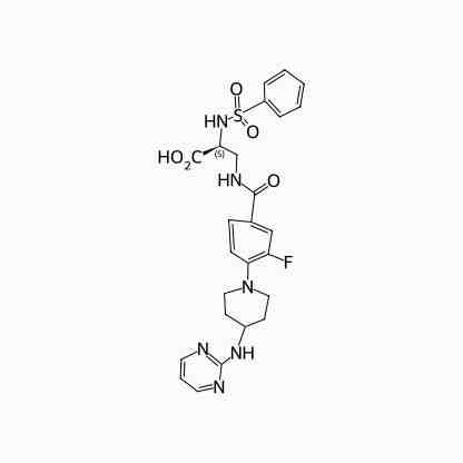 O=C(NC[C@H](NS(=O)(=O)c1ccccc1)C(=O)O)c1ccc(N2CCC(Nc3ncccn3)CC2)c(F)c1